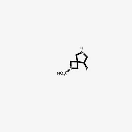 O=C(O)N1CC2(CNCC2F)C1